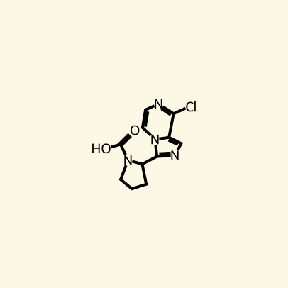 O=C(O)N1CCCC1c1ncc2c(Cl)nccn12